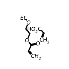 C=CC(=O)O.C=CC(=O)OCCOCC